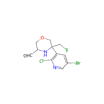 O=CC1COCC(CF)(c2cc(Br)cnc2Cl)N1